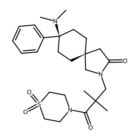 CN(C)[C@]1(c2ccccc2)CC[C@@]2(CC1)CC(=O)N(CC(C)(C)C(=O)N1CCS(=O)(=O)CC1)C2